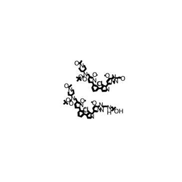 COc1nc(-c2cccc(-c3ccnc(-c4cc(OC)c5nc(C=O)nn5c4)c3Cl)c2Cl)ccc1CN(C(=O)OC(C)(C)C)C1CCN(C(C)=O)CC1.COc1nc(-c2cccc(-c3ccnc(-c4cc(OC)c5nc(CNCC(C)(C)O)nn5c4)c3Cl)c2Cl)ccc1CN(C(=O)OC(C)(C)C)C1CCN(C(C)=O)CC1